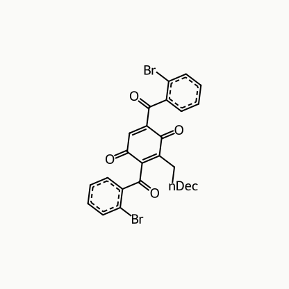 CCCCCCCCCCCC1=C(C(=O)c2ccccc2Br)C(=O)C=C(C(=O)c2ccccc2Br)C1=O